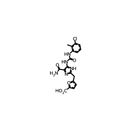 Cc1c(Cl)cccc1NC(=O)Nc1[nH]c(Cc2ccc(C(=O)O)o2)nc1C(N)=O